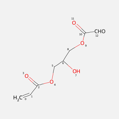 C=CC(=O)OCC(O)COC(=O)C=O